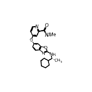 CNC(=O)c1cc(Oc2ccc3nc(N[C@H](C)C4CCCCC4)oc3c2)ccn1